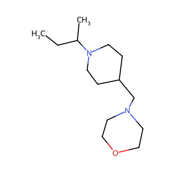 CCC(C)N1CCC(CN2CCOCC2)CC1